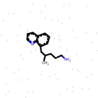 CC(CCCN)Cc1cccc2cccnc12